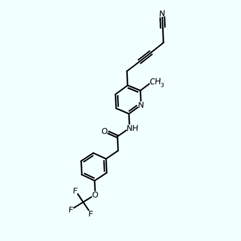 Cc1nc(NC(=O)Cc2cccc(OC(F)(F)F)c2)ccc1CC#CCC#N